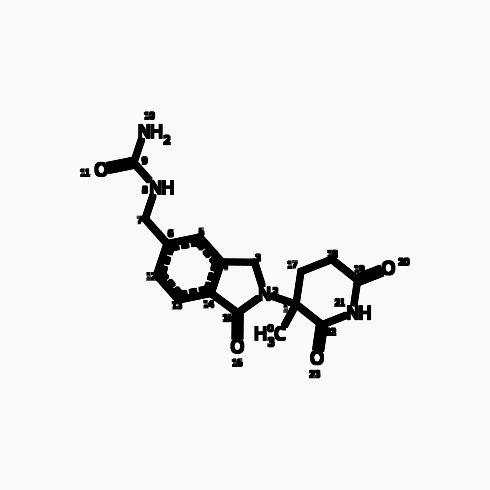 CC1(N2Cc3cc(CNC(N)=O)ccc3C2=O)CCC(=O)NC1=O